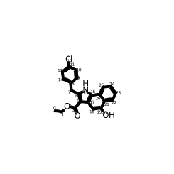 CCOC(=O)c1c(Cc2ccc(Cl)cc2)[nH]c2c1cc(O)c1ccccc12